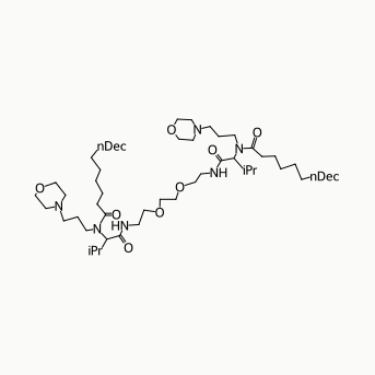 CCCCCCCCCCCCCCCC(=O)N(CCCN1CCOCC1)C(C(=O)NCCOCCOCCNC(=O)C(C(C)C)N(CCCN1CCOCC1)C(=O)CCCCCCCCCCCCCCC)C(C)C